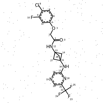 O=C(COc1ccc(Cl)c(F)c1)NC12CC(Nc3cncc(C(F)(F)F)n3)(C1)C2